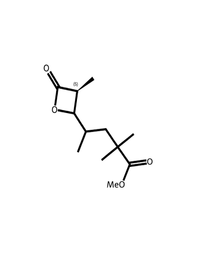 COC(=O)C(C)(C)CC(C)C1OC(=O)[C@H]1C